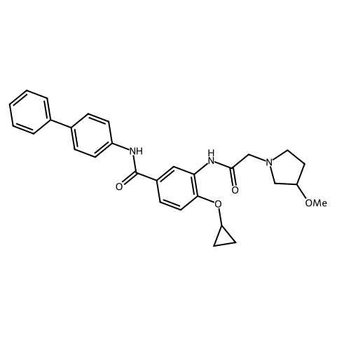 COC1CCN(CC(=O)Nc2cc(C(=O)Nc3ccc(-c4ccccc4)cc3)ccc2OC2CC2)C1